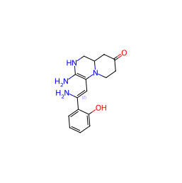 NC1=C(/C=C(\N)c2ccccc2O)N2CCC(=O)CC2CN1